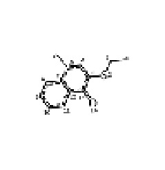 CCSc1cn(C)c2ccccc2c1=O